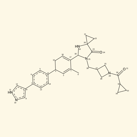 CC1=CC(c2ccc(-c3cn[nH]c3)cc2)CC=C1C1NC2(CC2)C(=O)N1CC1CN(C(=O)C2CC2)C1